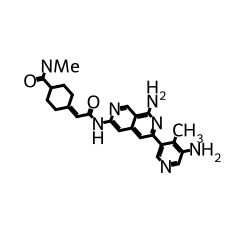 CNC(=O)C1CCC(=CC(=O)Nc2cc3cc(-c4cncc(N)c4C)nc(N)c3cn2)CC1